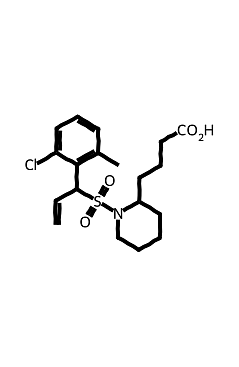 C=CC(c1c(C)cccc1Cl)S(=O)(=O)N1CCCCC1CCCC(=O)O